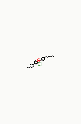 CCCCCCc1ccc(COc2ccc(C3CCC(CC)CC3)cc2Cl)cc1